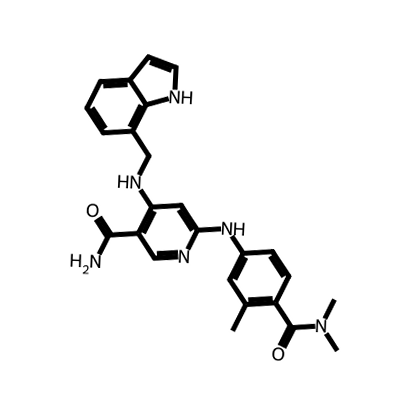 Cc1cc(Nc2cc(NCc3cccc4cc[nH]c34)c(C(N)=O)cn2)ccc1C(=O)N(C)C